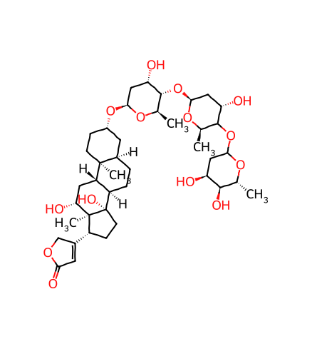 C[C@H]1O[C@@H](O[C@H]2[C@@H](O)C[C@H](O[C@H]3CC[C@@]4(C)[C@H](CC[C@@H]5[C@@H]4C[C@@H](O)[C@]4(C)[C@@H](C6=CC(=O)OC6)CC[C@]54O)C3)O[C@@H]2C)C[C@H](O)C1OC1C[C@H](O)[C@H](O)[C@@H](C)O1